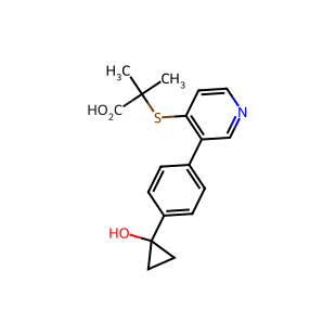 CC(C)(Sc1ccncc1-c1ccc(C2(O)CC2)cc1)C(=O)O